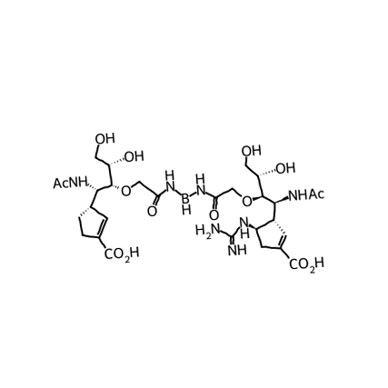 CC(=O)N[C@H]([C@@H](OCC(=O)NBNC(=O)CO[C@H]([C@@H](NC(C)=O)[C@@H]1C=C(C(=O)O)C[C@H]1NC(=N)N)[C@@H](O)CO)[C@@H](O)CO)[C@@H]1C=C(C(=O)O)CC1